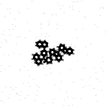 CC1(N(c2ccc(-c3cccc4ccccc34)cc2)c2cccc3ccccc23)C=CC=C(c2cccc3c2c2ccccc2n3-c2cccc3c2sc2ccccc23)C1